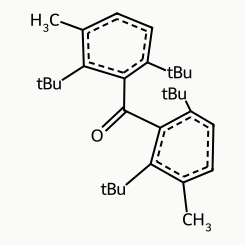 Cc1ccc(C(C)(C)C)c(C(=O)c2c(C(C)(C)C)ccc(C)c2C(C)(C)C)c1C(C)(C)C